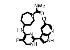 CNC(=O)N1CCCC(NC2=C(F)CNC(c3c[nH]c4ncc(Cl)cc34)=N2)CC1